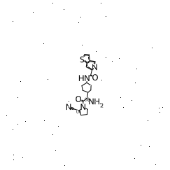 N#C[C@@H]1CCCN1C(=O)[C@@H](N)C1CCC(NC(=O)c2cc3sccc3cn2)CC1